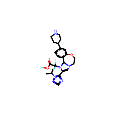 CC(C)n1ncnc1C1=CN2CCOc3cc(C4CCNCC4)ccc3C2N1C(F)(F)C(=O)OF